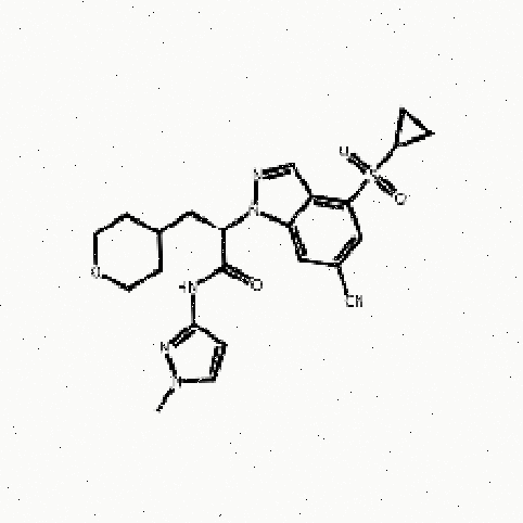 Cn1ccc(NC(=O)[C@@H](CC2CCOCC2)n2ncc3c(S(=O)(=O)C4CC4)cc(C#N)cc32)n1